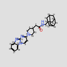 O=C(CC1CCN(c2ccn3c(n2)nc2ccccc23)CC1)NCC12CC3CC(CC(C3)C1)C2